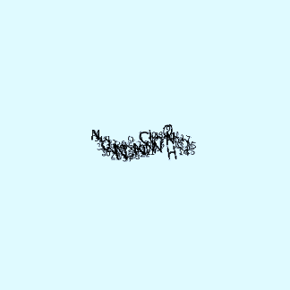 C[C@@H]1CN(c2ncc(C(=O)NCC3CCCCC3)cc2Cl)CCN1C1CCN(Cc2ccc(C#N)cc2)CC1